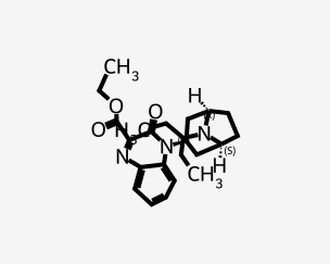 CCOC(=O)c1nc2ccccc2n([C@H]2C[C@H]3CC[C@@H](C2)N3C(CC)CC)c1=O